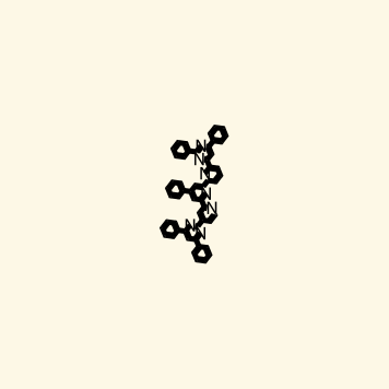 c1ccc(-c2cc(-c3cc(-c4nc(-c5ccccc5)cc(-c5ccccc5)n4)ccn3)nc(-c3cccc(-c4cc(-c5ccccc5)nc(-c5ccccc5)n4)n3)c2)cc1